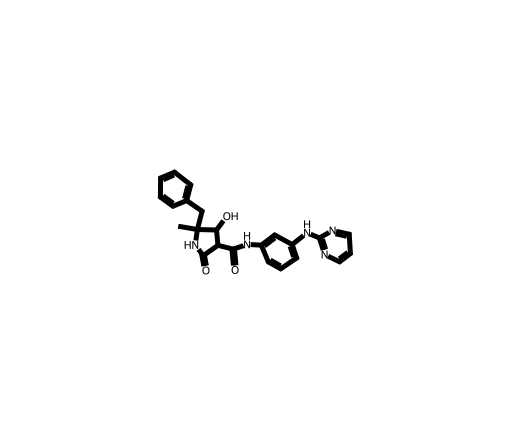 CC1(Cc2ccccc2)NC(=O)C(C(=O)Nc2cccc(Nc3ncccn3)c2)C1O